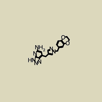 Nc1cc(Cc2cnn(Cc3ccc4c(c3)OCCO4)c2)c2nn[nH]c2n1